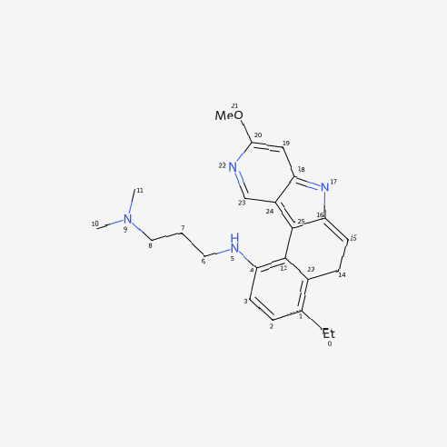 CCc1ccc(NCCCN(C)C)c2c1CC=C1N=c3cc(OC)ncc3=C12